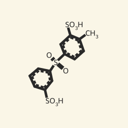 Cc1ccc(S(=O)(=O)c2cccc(S(=O)(=O)O)c2)cc1S(=O)(=O)O